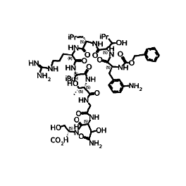 CC[C@H](C)[C@H](NC(=O)[C@@H](CCCNC(=N)N)NC(=O)[C@H](CC(C)C)NC(=O)[C@@H](NC(=O)[C@H](Cc1cccc(N)c1)NC(=O)OCc1ccccc1)C(O)C(C)C)C(=O)N[C@H](C(=O)NCC(=O)N[C@H](C(=O)N[C@@H](CO)C(=O)O)C(O)C(N)=O)[C@H](C)O